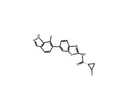 Cc1c(-c2ccc3nc(NC(=O)[C@@H]4CC4F)sc3c2)ccc2cn[nH]c12